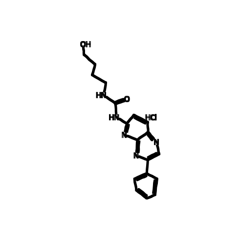 Cl.O=C(NCCCCO)Nc1ccc2ncc(-c3ccccc3)nc2n1